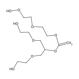 C=C(OCCOCCOO)OC(COCCO)COCCO